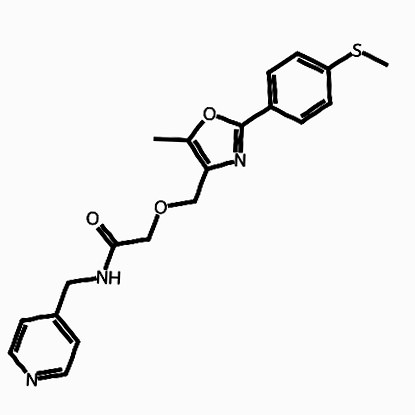 CSc1ccc(-c2nc(COCC(=O)NCc3ccncc3)c(C)o2)cc1